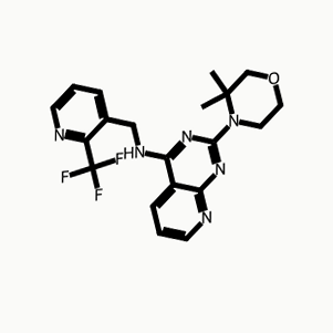 CC1(C)COCCN1c1nc(NCc2cccnc2C(F)(F)F)c2cccnc2n1